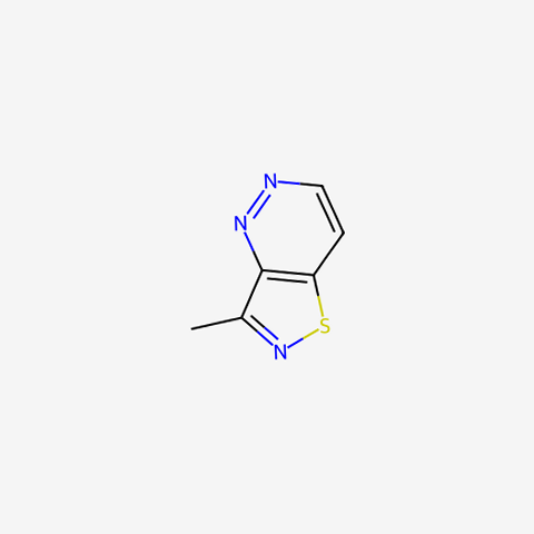 Cc1nsc2ccnnc12